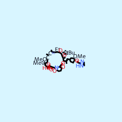 CCC1/C=C(\C)CC(C)CC(OC)C2OC(O)(C(=O)C(=O)N3CCCCC3C(=O)OC(C(C)=CC3CCC(OCc4ncc[nH]4)C(OC)C3)C(C)C(O[Si](C)(C)C(C)(C)C)CC1=O)C(C)CC2OC